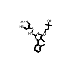 CN/C=C(\C=N)SNc1nc(OCCC(C)(C)O)c(C)c(-c2ccccc2C)n1